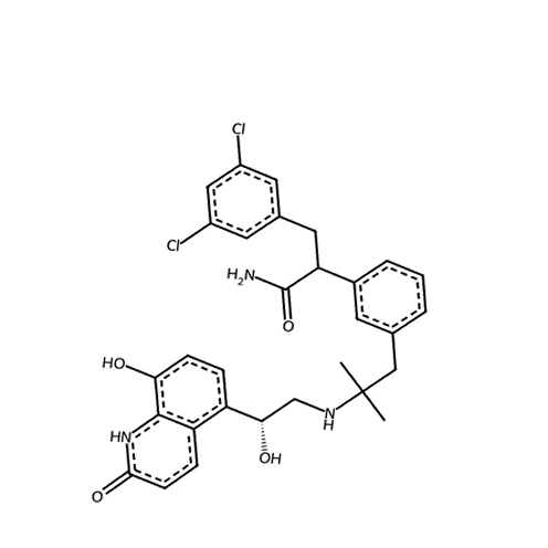 CC(C)(Cc1cccc(C(Cc2cc(Cl)cc(Cl)c2)C(N)=O)c1)NC[C@H](O)c1ccc(O)c2[nH]c(=O)ccc12